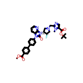 COC(=O)c1ccc(-c2ccc(-n3c(=O)n([C@@H]4CN(Cc5ncc(C(=O)OC(C)(C)C)n5C)C[C@H]4F)c4ncccc43)cc2)cc1